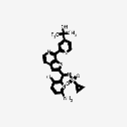 CC(O)(c1ccnc(-c2nccc3cc(C(NS(=O)(=O)C4CC4)c4nc(N)ccc4Cl)sc23)c1)C(F)(F)F